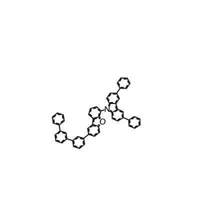 c1ccc(-c2cccc(-c3cccc(-c4ccc5oc6c(-n7c8ccc(-c9ccccc9)cc8c8cc(-c9ccccc9)ccc87)cccc6c5c4)c3)c2)cc1